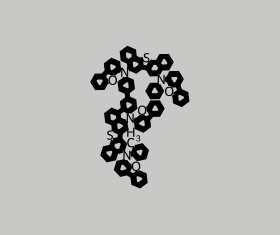 Cc1ccccc1N(c1cc2c3cc4c5c(cccc5c3sc2c2ccccc12)-c1cc(-c2ccc(N(c3cc5c6cc(N(c7ccccc7)c7cccc8c7oc7ccccc78)c7ccccc7c6sc5c5ccccc35)c3cccc5c3oc3ccccc35)cc2)ccc1N4c1cccc2c1oc1ccccc12)c1cccc2c1oc1ccccc12